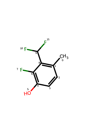 Cc1ccc(O)c(F)c1C(F)F